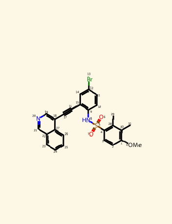 COc1ccc(S(=O)(=O)Nc2ccc(Br)cc2C#Cc2cncc3ccccc23)c(C)c1C